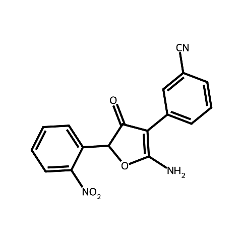 N#Cc1cccc(C2=C(N)OC(c3ccccc3[N+](=O)[O-])C2=O)c1